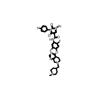 CC(C)n1cc(C(=O)Nc2cc(F)c(Oc3ncnc4c3CCN(CC3CCN(C)CC3)C4)cc2F)c(=O)n(-c2ccc(F)cc2)c1=O